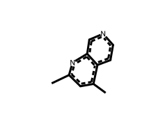 Cc1cc(C)c2ccncc2n1